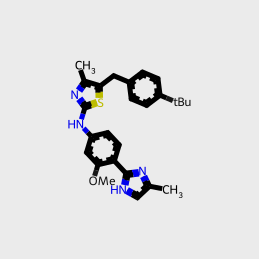 COc1cc(Nc2nc(C)c(Cc3ccc(C(C)(C)C)cc3)s2)ccc1-c1nc(C)c[nH]1